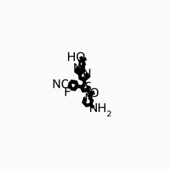 CC(C)(O)Cn1ncc2cc(-c3sc(C(=O)N4CCCC(N)C4)cc3-c3ccc(C#N)c(F)c3)cnc21